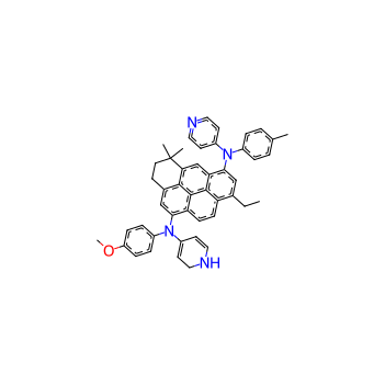 CCc1cc(N(c2ccncc2)c2ccc(C)cc2)c2cc3c4c(cc(N(C5=CCNC=C5)c5ccc(OC)cc5)c5ccc1c2c54)CCC3(C)C